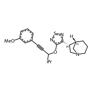 COc1cccc(C#CC(Oc2nsnc2[C@H]2CN3CCC[C@@H]2C3)C(C)C)c1